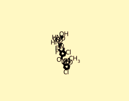 CCS(=O)(=O)c1ccc(Cl)cc1CNC(=O)c1cc(Cl)c(CN2CC(NS(=O)(=O)NC(=O)O)C2)c(C(F)(F)F)c1